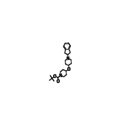 CC(C)(C)OC(=O)N1CCC(OC2CCN(C3Cc4ccccc4C3)CC2)CC1